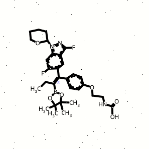 CC/C(B1OC(C)(C)C(C)(C)O1)=C(/c1ccc(OCCNC(=O)O)cc1)c1cc2c(F)nn(C3CCCCO3)c2cc1F